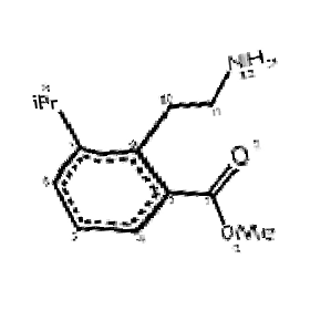 COC(=O)c1cccc(C(C)C)c1CCN